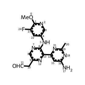 COc1ncc(Nc2ncc(CC=O)nc2-c2cc(N)nc(C)n2)cc1F